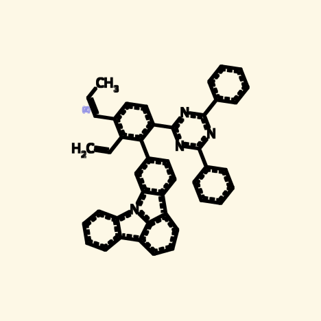 C=Cc1c(/C=C\C)ccc(-c2nc(-c3ccccc3)nc(-c3ccccc3)n2)c1-c1ccc2c3cccc4c5ccccc5n(c2c1)c43